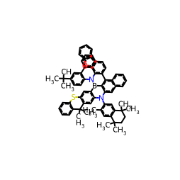 Cc1cc2c(cc1N1c3cc4c(cc3B3c5c1cc1ccccc1c5-c1ccc5c(oc6ccccc65)c1N3c1ccc(C(C)(C)C)cc1-c1ccccc1)Sc1ccccc1C4(C)C)C(C)(C)CCC2(C)C